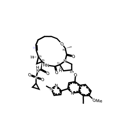 COc1ccc2c(O[C@@H]3C[C@H]4C(=O)N[C@]5(C(=O)NS(=O)(=O)C6CC6)C[C@H]5/C=C\CCCCO[C@H](C)C(=O)N4C3)cc(-c3ccn(C)n3)nc2c1C